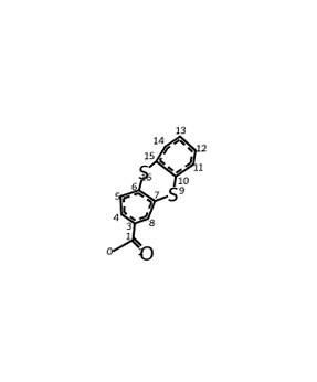 CC(=O)c1ccc2c(c1)Sc1ccccc1S2